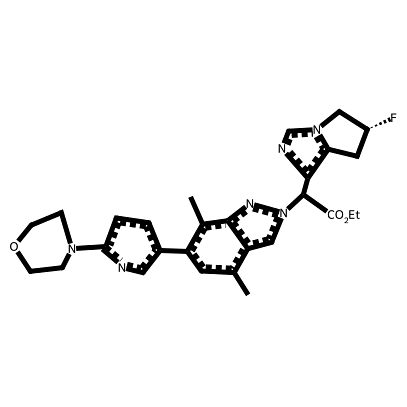 CCOC(=O)C(c1ncn2c1C[C@@H](F)C2)n1cc2c(C)cc(-c3ccc(N4CCOCC4)nc3)c(C)c2n1